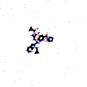 COc1cc(C(=O)N2CC3CCC2[C@@H]3N)cc2nc(-c3cc4cccnc4n3CC3CC3)n(CC3CN(C(=O)C4CC4)C3)c12